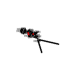 CCCCCCCCCCCCC/C=C/[C@@H](O)[C@H](CO[C@@H]1OC(CO)[C@@H](O[C@@H]2OC(CO)[C@H](O)[C@H](O[C@@H]3OC(CO)[C@@H](O[C@@H]4OC(CO)[C@H](O)[C@H](O[C@@H]5OC(CO)[C@@H](O[C@@H]6OC(CO)[C@H](O)[C@H](O)C6O)[C@H](O)C5NC(C)=O)C4O)[C@H](O[C@H]4OC(C)[C@@H](O)C(O)[C@@H]4O)C3NC(C)=O)C2O)[C@H](O)C1O)NC(=O)CCCCCCCCCCCCCCCCCCCCCCC